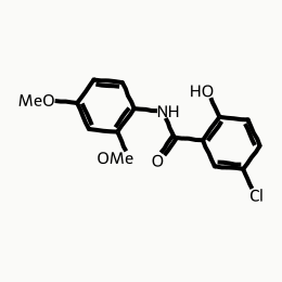 COc1ccc(NC(=O)c2cc(Cl)ccc2O)c(OC)c1